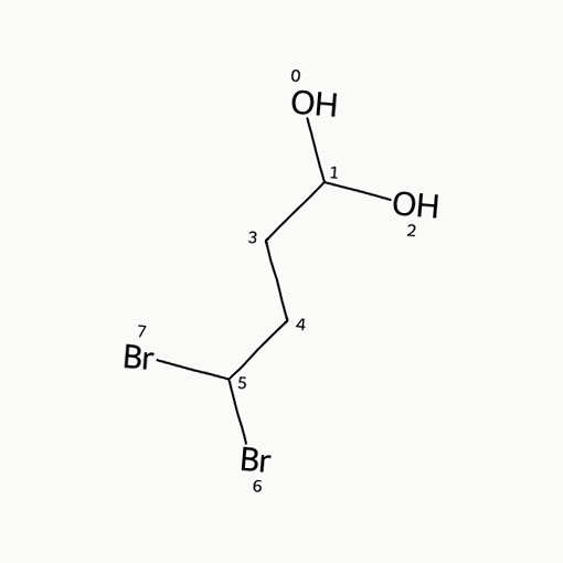 OC(O)CCC(Br)Br